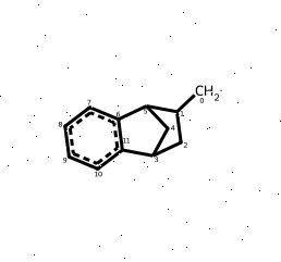 [CH2]C1CC2CC1c1ccccc12